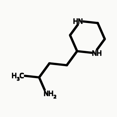 CC(N)CCC1CNCCN1